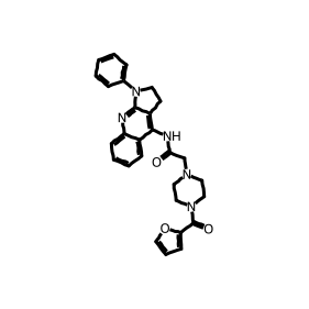 O=C(CN1CCN(C(=O)c2ccco2)CC1)Nc1c2c(nc3ccccc13)N(c1ccccc1)CC2